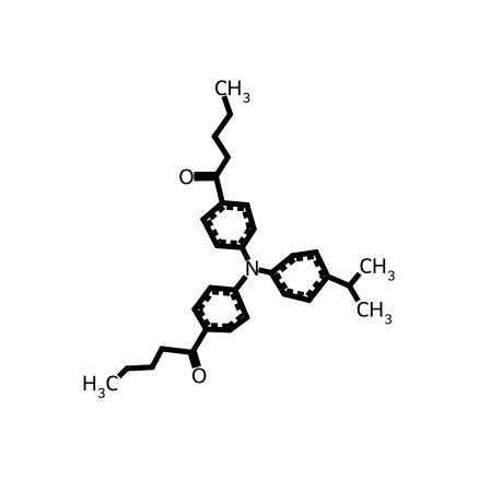 CCCCC(=O)c1ccc(N(c2ccc(C(=O)CCCC)cc2)c2ccc(C(C)C)cc2)cc1